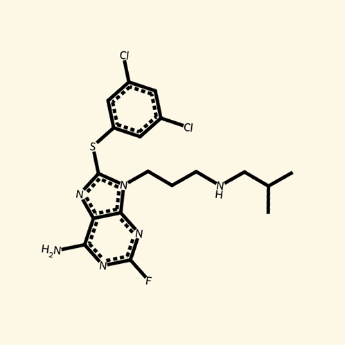 CC(C)CNCCCn1c(Sc2cc(Cl)cc(Cl)c2)nc2c(N)nc(F)nc21